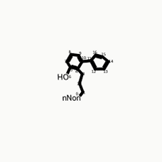 CCCCCCCCCCCCc1c(O)cccc1-c1ccccc1